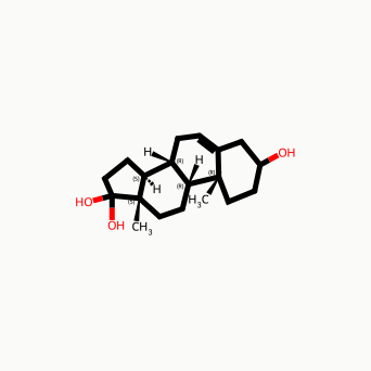 C[C@]12CCC(O)CC1=CC[C@@H]1[C@H]2CC[C@@]2(C)[C@H]1CCC2(O)O